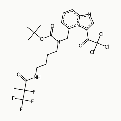 CC(C)(C)OC(=O)N(CCCCNC(=O)C(F)(F)C(F)(F)F)Cc1cccc2ncc(C(=O)C(Cl)(Cl)Cl)n12